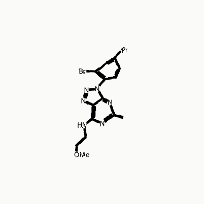 COCCNc1nc(C)nc2c1nnn2-c1ccc(C(C)C)cc1Br